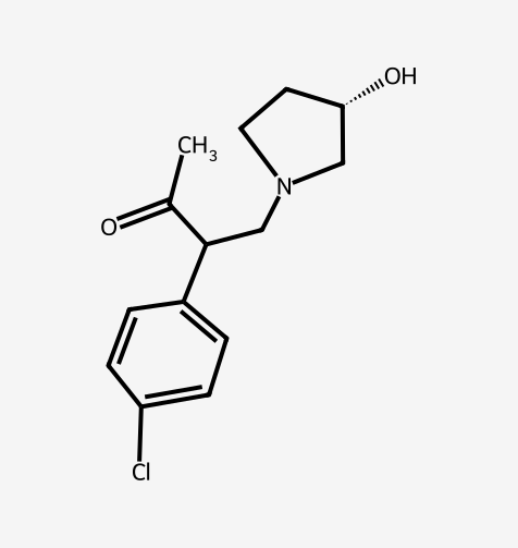 CC(=O)C(CN1CC[C@H](O)C1)c1ccc(Cl)cc1